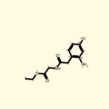 CCOC(=O)CNC(=O)Cc1ccc(Cl)cc1N